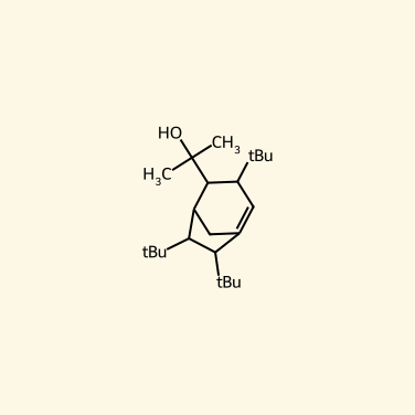 CC(C)(C)C1C=C2CC(C(C(C)(C)C)C2C(C)(C)C)C1C(C)(C)O